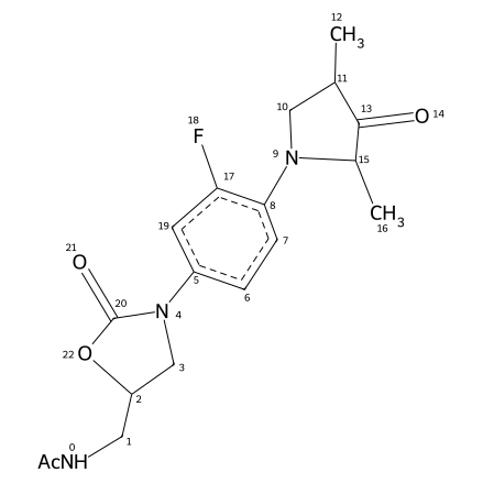 CC(=O)NCC1CN(c2ccc(N3CC(C)C(=O)C3C)c(F)c2)C(=O)O1